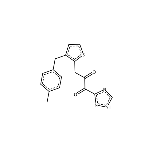 Cc1ccc(Cc2ccsc2CC(=O)C(=O)c2nc[nH]n2)cc1